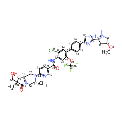 CO[C@@H]1CN[C@H](c2nc(-c3ccc(-c4cc(Cl)c(NC(=O)c5ccc(N6CCN(C(=O)C(C)(C)CO)C[C@H]6C)nc5)cc4OC(F)(F)F)cc3)c[nH]2)C1